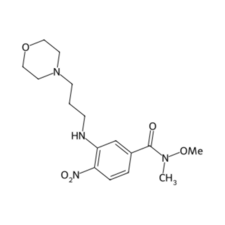 CON(C)C(=O)c1ccc([N+](=O)[O-])c(NCCCN2CCOCC2)c1